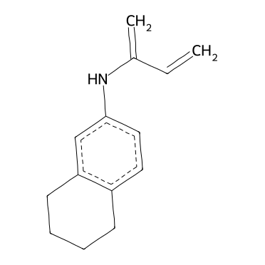 C=CC(=C)Nc1ccc2c(c1)CCCC2